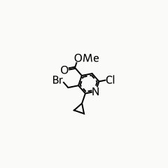 COC(=O)c1cc(Cl)nc(C2CC2)c1CBr